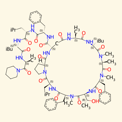 CC[C@H](C)[C@H](NC(=O)[C@H](CC(C)C)NC(=O)[C@H](Cc1ccccc1)NC(=O)[C@@H]1CC(=O)N[C@@H](C)C(=O)N[C@@H]([C@@H](C)CC)C(=O)N(C)[C@@H](C)C(=O)N(C)[C@@H](Cc2ccccc2)C(=O)N[C@@H]([C@@H](C)O)C(=O)N(C)[C@@H](Cc2ccccc2)C(=O)N[C@@H](CC(C)C)C(=O)N2CCC[C@H]2C(=O)N1)C(=O)N[C@@H](C)C(=O)N1CCCCC1